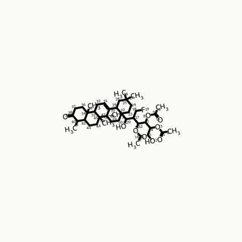 CC(=O)OC(CO)C(OC(C)=O)C(OC(C)=O)C(CF)C(O)C12CCC(C)(C)CC1C1=CCC3C4(C)CCC(=O)C(C)C4CCC3(C)[C@]1(C)CC2